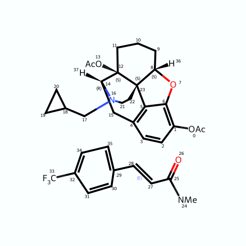 CC(=O)Oc1ccc2c3c1O[C@H]1CCC[C@@]4(OC(C)=O)[C@@H](C2)N(CC2CC2)CC[C@]314.CNC(=O)/C=C/c1ccc(C(F)(F)F)cc1